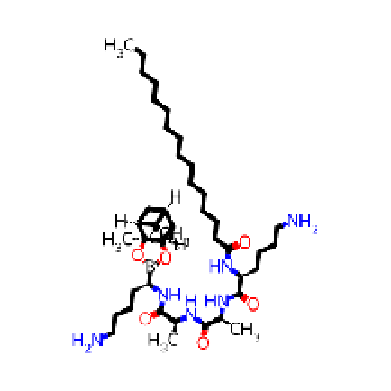 CCCCCCCCCCCCCCCC(=O)N[C@@H](CCCCN)C(=O)N[C@@H](C)C(=O)N[C@@H](C)C(=O)N[C@@H](CCCCN)B1O[C@@H]2C[C@@H]3C[C@@H](C3(C)C)[C@]2(C)O1